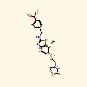 O=C(O)c1ccc(CNc2nc3ccc(OCCN4CCOCC4)cc3s2)cc1.[LiH]